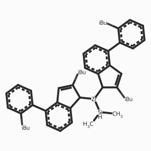 CCC(C)C1=Cc2c(-c3ccccc3C(C)CC)cccc2[CH]1[Zr]([CH]1C(C(C)CC)=Cc2c(-c3ccccc3C(C)CC)cccc21)[SiH](C)C